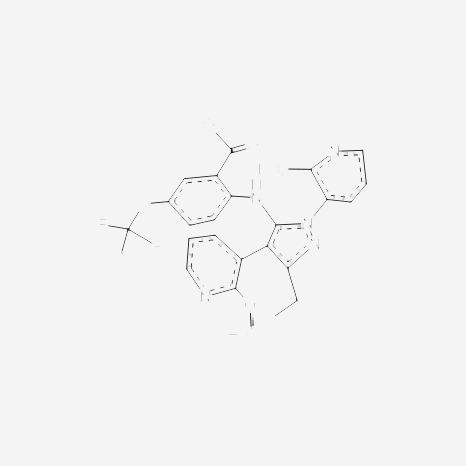 CCc1nn(-c2cccnc2C)c(Nc2ccc(OC(F)(F)F)cc2C(=O)O)c1-c1cccnc1OC